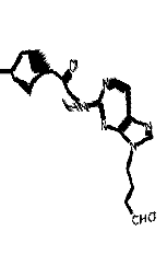 O=CCCCn1cnc2cnc(NC(=O)c3ccccc3)nc21